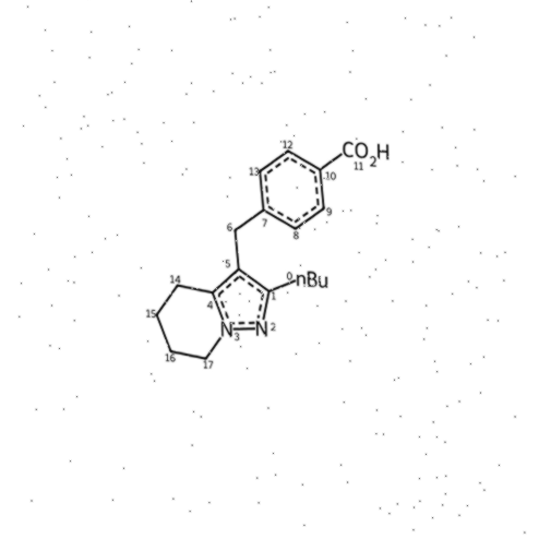 CCCCc1nn2c(c1Cc1ccc(C(=O)O)cc1)CCCC2